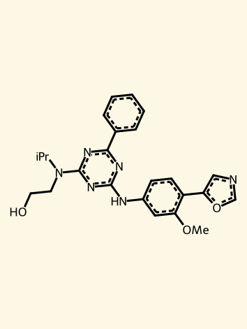 COc1cc(Nc2nc(-c3ccccc3)nc(N(CCO)C(C)C)n2)ccc1-c1cnco1